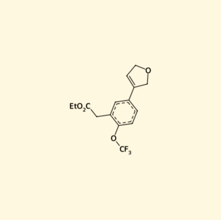 CCOC(=O)Cc1cc(C2=CCOC2)ccc1OC(F)(F)F